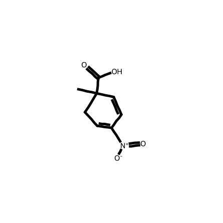 CC1(C(=O)O)C=CC([N+](=O)[O-])=CC1